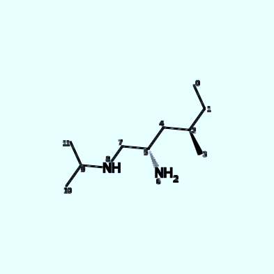 CC[C@@H](C)C[C@H](N)CNC(C)C